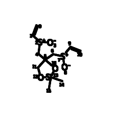 C=C[S+]([O-])CC1(C[S+]([O-])C=C)CO[Si](C)(C)O1